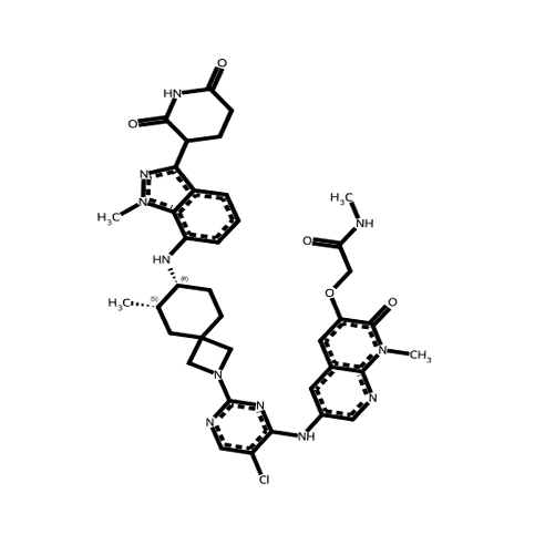 CNC(=O)COc1cc2cc(Nc3nc(N4CC5(CC[C@@H](Nc6cccc7c(C8CCC(=O)NC8=O)nn(C)c67)[C@@H](C)C5)C4)ncc3Cl)cnc2n(C)c1=O